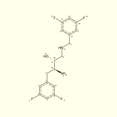 N[C@@H](Cc1cc(F)cc(F)c1)[C@H](O)CNCc1cc(F)cc(F)c1